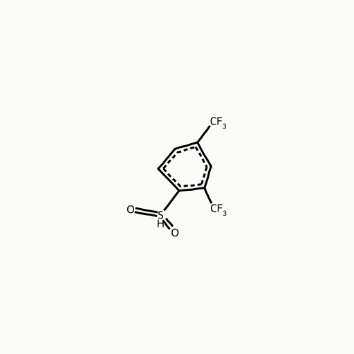 O=[SH](=O)c1ccc(C(F)(F)F)cc1C(F)(F)F